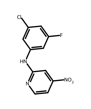 O=[N+]([O-])c1ccnc(Nc2cc(F)cc(Cl)c2)c1